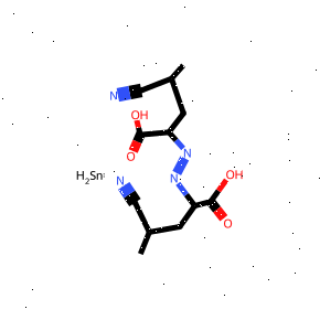 CC(C#N)CC(N=NC(CC(C)C#N)C(=O)O)C(=O)O.[SnH2]